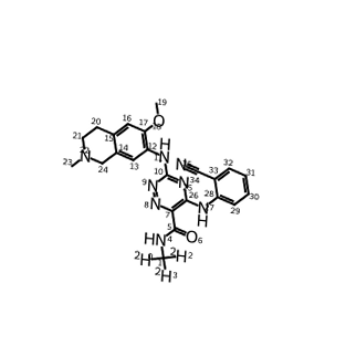 [2H]C([2H])([2H])NC(=O)c1nnc(Nc2cc3c(cc2OC)CCN(C)C3)nc1Nc1ccccc1C#N